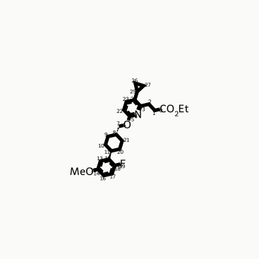 CCOC(=O)CCc1nc(OC[C@H]2CC[C@H](c3cc(OC)ccc3F)CC2)ccc1C1CC1